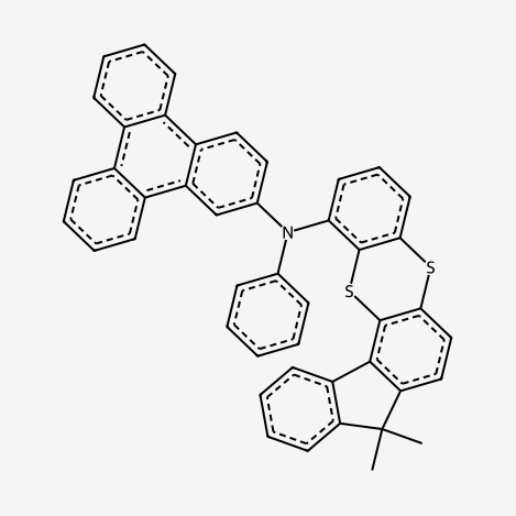 CC1(C)c2ccccc2-c2c1ccc1c2Sc2c(cccc2N(c2ccccc2)c2ccc3c4ccccc4c4ccccc4c3c2)S1